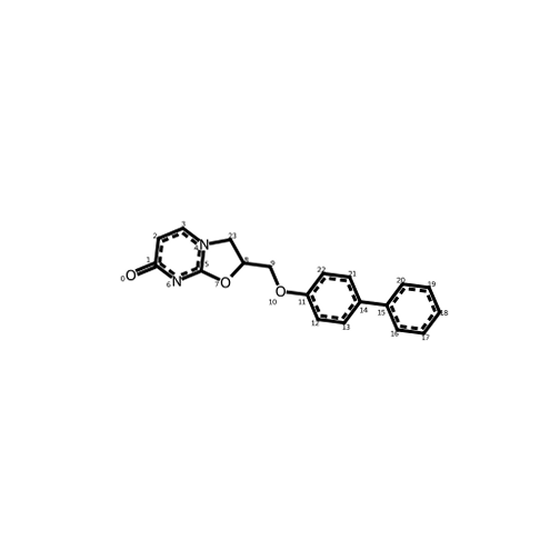 O=c1ccn2c(n1)OC(COc1ccc(-c3ccccc3)cc1)C2